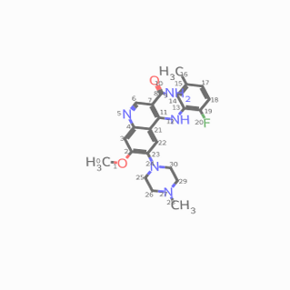 COc1cc2ncc(C(N)=O)c(Nc3cc(C)ccc3F)c2cc1N1CCN(C)CC1